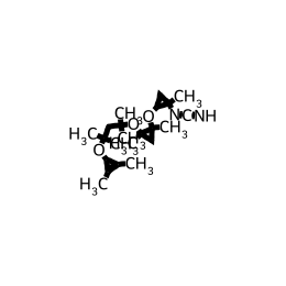 CC1=C(C)C1OC(C)(C)CC(C)(C)OC1(C)CC1(C)OC1CC1(C)N=C=N